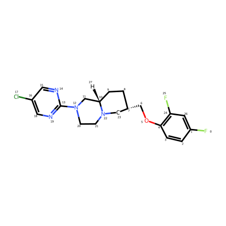 Fc1ccc(OC[C@H]2CC[C@H]3CN(c4ncc(Cl)cn4)CCN3C2)c(F)c1